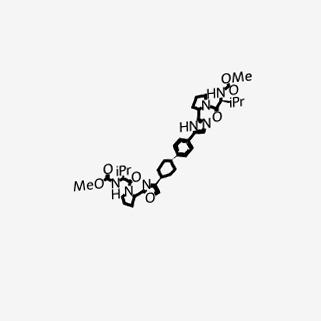 COC(=O)N[C@H](C(=O)N1CCCC1c1ncc(-c2ccc([C@H]3CC[C@H](c4coc(C5CCCN5C(=O)[C@@H](NC(=O)OC)C(C)C)n4)CC3)cc2)[nH]1)C(C)C